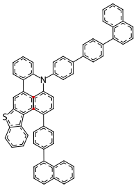 c1ccc(N(c2ccc(-c3ccc(-c4cccc5ccccc45)cc3)cc2)c2ccc(-c3ccc(-c4cccc5ccccc45)cc3)cc2)c(-c2ccc3c(c2)sc2ccccc23)c1